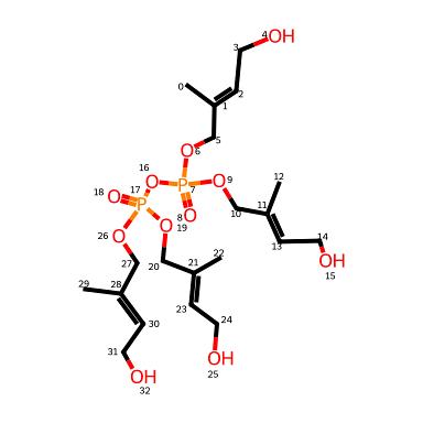 C/C(=C\CO)COP(=O)(OC/C(C)=C/CO)OP(=O)(OC/C(C)=C/CO)OC/C(C)=C/CO